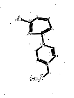 CCOC(=O)CC1=CCN(c2cccc(O)n2)C=C1